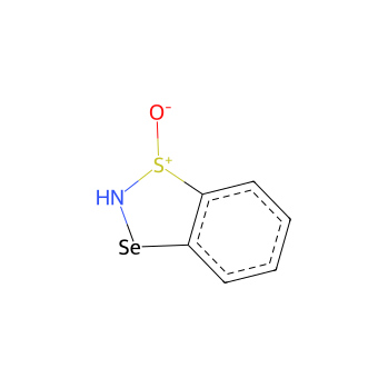 [O-][S+]1N[Se]c2ccccc21